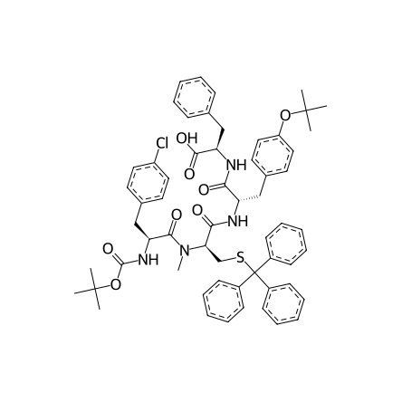 CN(C(=O)[C@H](Cc1ccc(Cl)cc1)NC(=O)OC(C)(C)C)[C@H](CSC(c1ccccc1)(c1ccccc1)c1ccccc1)C(=O)N[C@@H](Cc1ccc(OC(C)(C)C)cc1)C(=O)N[C@H](Cc1ccccc1)C(=O)O